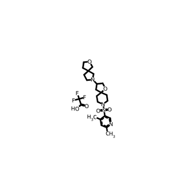 Cc1cc(C)c(S(=O)(=O)N2CCC3(CC2)CC(N2CCC4(CCOC4)C2)CO3)cn1.O=C(O)C(F)(F)F